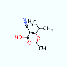 CCOC(=C(C#N)C(=O)O)C(C)C